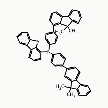 CC1(C)c2ccccc2-c2ccc(-c3ccc(N(c4ccc(-c5cccc6c5C(C)(C)c5ccccc5-6)cc4)c4cccc5c4sc4ccccc45)cc3)cc21